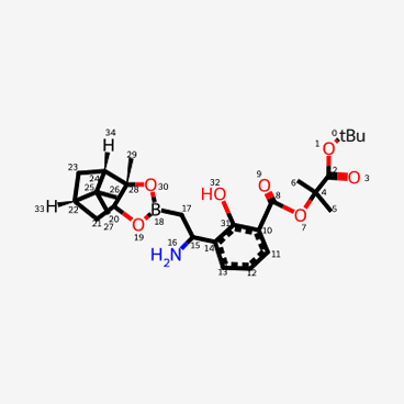 CC(C)(C)OC(=O)C(C)(C)OC(=O)c1cccc(C(N)CB2OC3C[C@@H]4C[C@@H](C4(C)C)[C@]3(C)O2)c1O